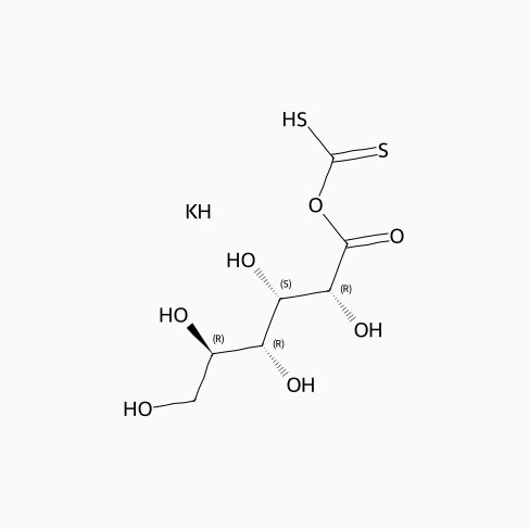 O=C(OC(=S)S)[C@H](O)[C@@H](O)[C@H](O)[C@H](O)CO.[KH]